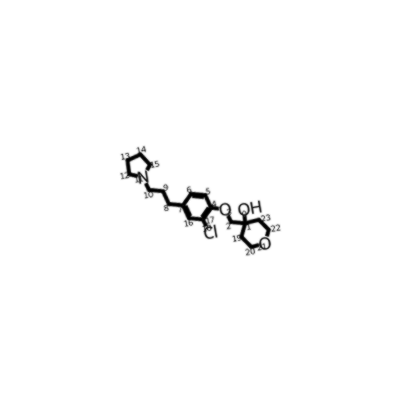 OC1(COc2ccc(CCCN3CCCC3)cc2Cl)CCOCC1